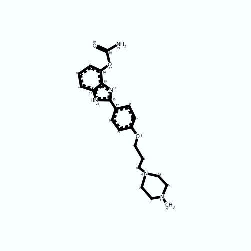 CN1CCN(CCCOc2ccc(-c3nc4c(OC(N)=O)cccc4[nH]3)cc2)CC1